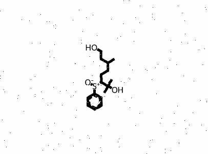 CC(CCO)CCC([S+]([O-])c1ccccc1)C(C)(C)O